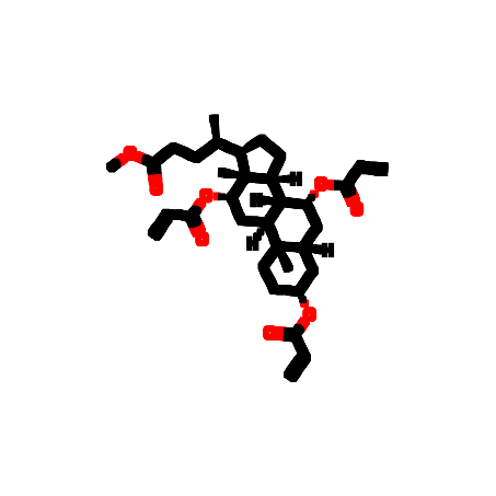 C=CC(=O)O[C@@H]1CC[C@@]2(C)[C@@H](C1)C[C@@H](OC(=O)C=C)[C@@H]1[C@@H]2C[C@H](OC(=O)C=C)[C@]2(C)[C@@H]([C@H](C)CCC(=O)OC)CC[C@@H]12